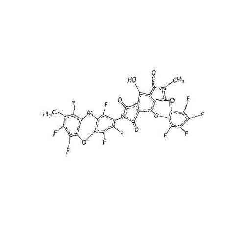 Cc1c(F)c(F)c(Oc2c(F)c(F)c(-n3c(=O)c4c(O)c5c(=O)n(C)c(=O)c5c(Oc5c(F)c(F)c(F)c(F)c5F)c4c3=O)c(F)c2F)c(F)c1F